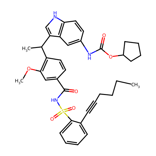 CCCCC#Cc1ccccc1S(=O)(=O)NC(=O)c1ccc(C(C)c2c[nH]c3ccc(NC(=O)OC4CCCC4)cc23)c(OC)c1